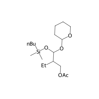 CCCC[Si](C)(C)OC(OC1CCCCO1)C(CC)COC(C)=O